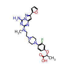 CC(Oc1ccc(N2CCN(CCN(C)c3nc(N)n4nc(-c5ccco5)cc4n3)CC2)c(F)c1)C(=O)O